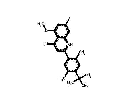 COc1cc(F)cc2[nH]c(-c3cc(C)c(C(C)(C)C)cc3C)cc(=O)c12